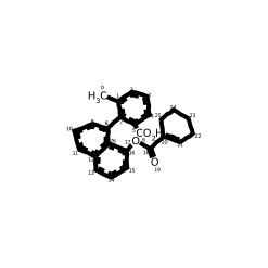 Cc1cccc(C(=O)O)c1-c1cccc2cccc(OC(=O)C3=CCCCC3)c12